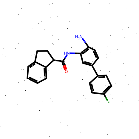 Nc1ccc(-c2ccc(F)cc2)cc1NC(=O)C1CCc2ccccc21